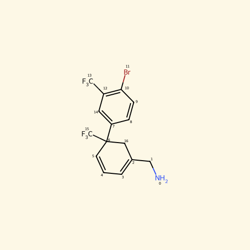 NCC1=CC=CC(c2ccc(Br)c(C(F)(F)F)c2)(C(F)(F)F)C1